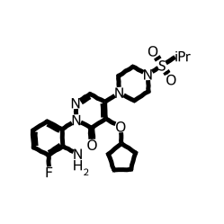 CC(C)S(=O)(=O)N1CCN(c2cnn(-c3cccc(F)c3N)c(=O)c2OC2CCCC2)CC1